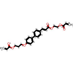 C=CC(=O)OCCCOc1ccc(-c2ccc(/C=C/C(=O)OCCOC(=O)C=C)cc2)cc1